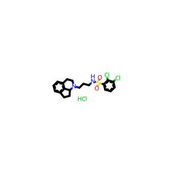 Cl.O=S(=O)(NCCCN1CCc2cccc3c2C1CC3)c1cccc(Cl)c1Cl